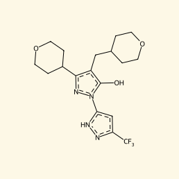 Oc1c(CC2CCOCC2)c(C2CCOCC2)nn1-c1cc(C(F)(F)F)n[nH]1